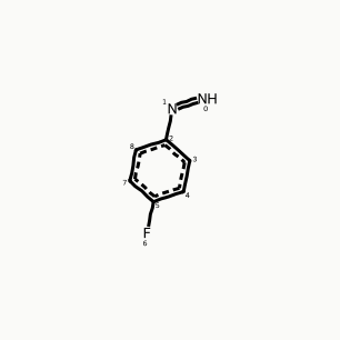 N=Nc1ccc(F)cc1